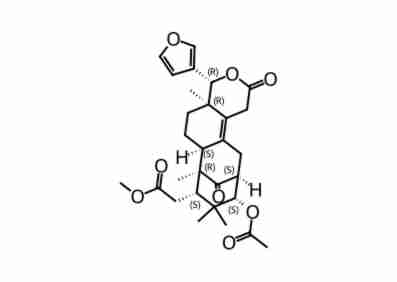 COC(=O)C[C@H]1C(C)(C)[C@@H](OC(C)=O)[C@@H]2CC3=C4CC(=O)O[C@@H](c5ccoc5)[C@]4(C)CC[C@@H]3[C@@]1(C)C2=O